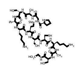 CSCC[C@H](NC(=O)[C@H](CCCCN)NC(=O)[C@@H](NC(=O)[C@H](CO)NC(=O)[C@H](C)NC(=O)CNC(=O)[C@@H]1CCCN1)C(C)C)C(=O)N[C@@H](CO)C(=O)N[C@@H](CS)C(=O)N[C@@H](CCCCN)C(=O)N[C@@H](C)C(=O)N[C@@H](CO)C(=O)NCC(=O)O